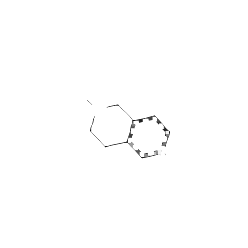 [O-][S+]1CCc2cnccc2C1